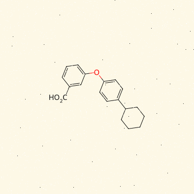 O=C(O)c1cccc(Oc2ccc(C3CCCCC3)cc2)c1